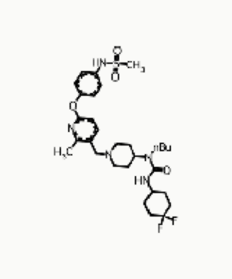 CCCCN(C(=O)NC1CCC(F)(F)CC1)C1CCN(Cc2ccc(Oc3ccc(NS(C)(=O)=O)cc3)nc2C)CC1